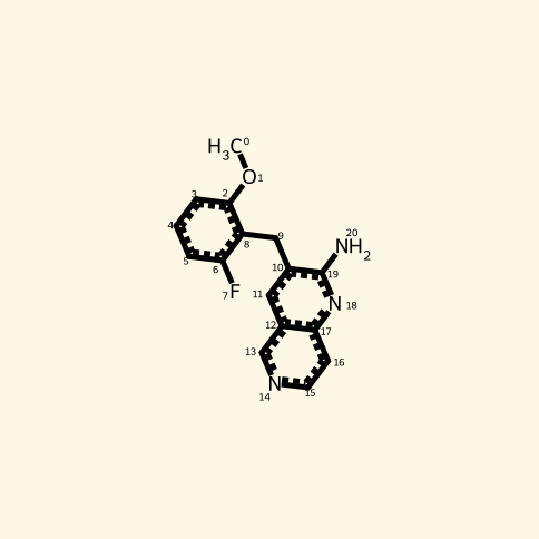 COc1cccc(F)c1Cc1cc2cnccc2nc1N